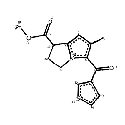 Cc1cc2n(c1C(=O)c1ccsc1)CCC2C(=O)OC(C)C